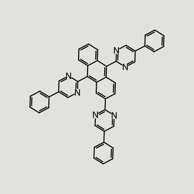 c1ccc(-c2cnc(-c3ccc4c(-c5ncc(-c6ccccc6)cn5)c5ccccc5c(-c5ncc(-c6ccccc6)cn5)c4c3)nc2)cc1